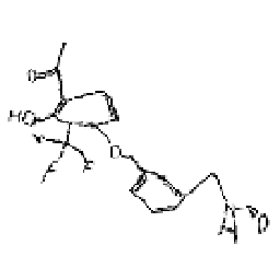 CC(=O)c1ccc(OCc2cccc(CNC=O)c2)c(C(F)(F)F)c1O